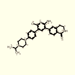 CC(C)N1CCN(c2ccc(-c3cc(-c4ccc5c(c4)CCNC5=O)c(N)nc3Cl)cc2)CC1